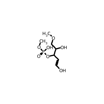 COCC(O)C(/C=C/O)OP(=O)(O)OC